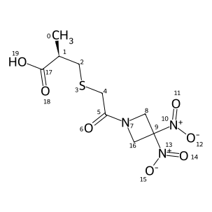 C[C@@H](CSCC(=O)N1CC([N+](=O)[O-])([N+](=O)[O-])C1)C(=O)O